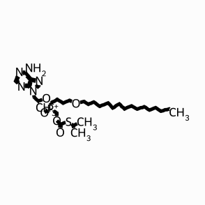 CCCCCCCCCCCCCCCCOCCCC(O[C@H](C)Cn1cnc2c(N)ncnc21)=[P+]([O-])COC(=O)SC(C)C